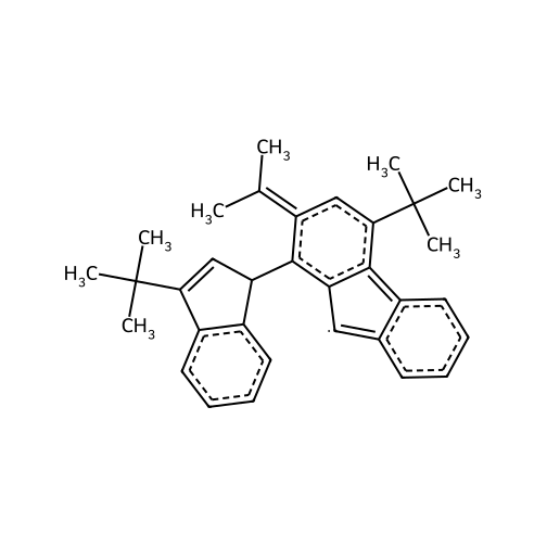 CC(C)=c1cc(C(C)(C)C)c2c(c1C1C=C(C(C)(C)C)c3ccccc31)[C]=c1ccccc1=2